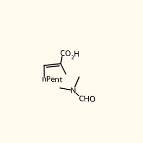 CCCCCC=C(C)C(=O)O.CN(C)C=O